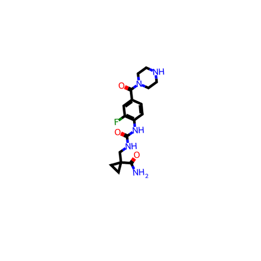 NC(=O)C1(CNC(=O)Nc2ccc(C(=O)N3CCNCC3)cc2F)CC1